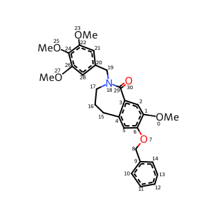 COc1cc2c(cc1OCc1ccccc1)CCCN(Cc1cc(OC)c(OC)c(OC)c1)C2=O